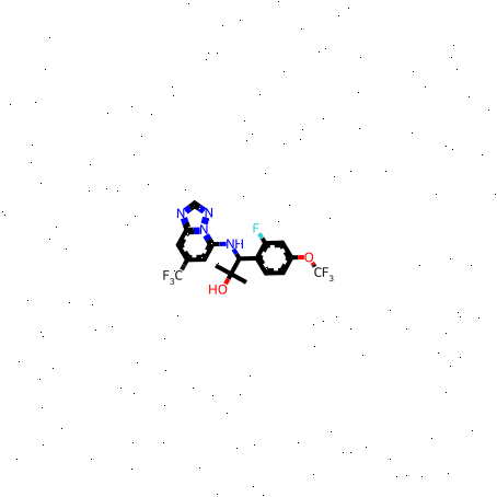 CC(C)(O)C(Nc1cc(C(F)(F)F)cc2ncnn12)c1ccc(OC(F)(F)F)cc1F